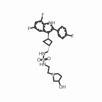 O=S(=O)(NCCN1CCC(O)C1)NC[C@H]1C[C@H](c2c(-c3ccc(F)cc3)[nH]c3c(F)cc(F)cc32)C1